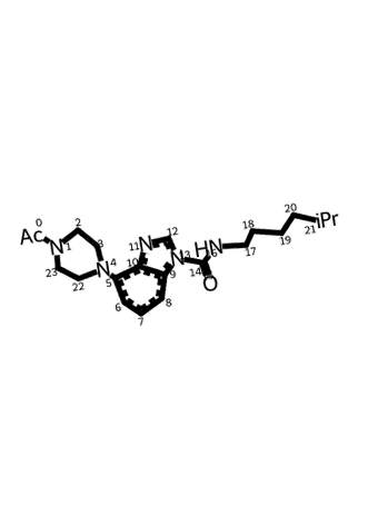 CC(=O)N1CCN(c2cccc3c2ncn3C(=O)NCCCCC(C)C)CC1